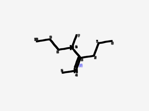 CCC/C(=N/C)N(C)CCC